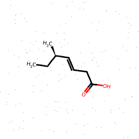 CC[C@@H](C)/C=C/CC(=O)O